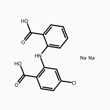 O=C(O)c1ccccc1Nc1cc(Cl)ccc1C(=O)O.[Na].[Na]